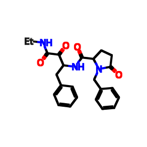 CCNC(=O)C(=O)C(Cc1ccccc1)NC(=O)C1CCC(=O)N1Cc1ccccc1